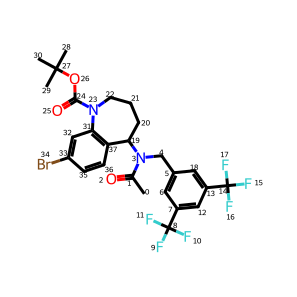 CC(=O)N(Cc1cc(C(F)(F)F)cc(C(F)(F)F)c1)C1CCCN(C(=O)OC(C)(C)C)c2cc(Br)ccc21